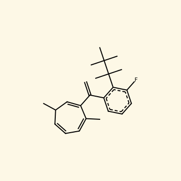 C=C(C1=CC(C)C=CC=C1C)c1cccc(F)c1C(C)(C)C(C)(C)C